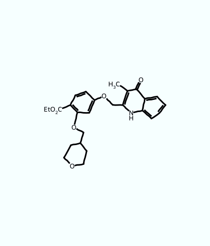 CCOC(=O)c1ccc(OCc2[nH]c3ccccc3c(=O)c2C)cc1OCC1CCOCC1